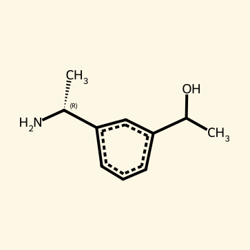 CC(O)c1cccc([C@@H](C)N)c1